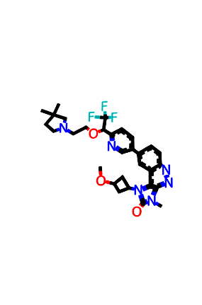 COC1CC(n2c(=O)n(C)c3nnc4ccc(-c5ccc(C(OCCN6CCC(C)(C)C6)C(F)(F)F)nc5)cc4c32)C1